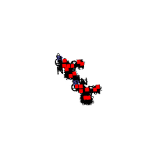 C/C=C/C(=O)N1CCN(c2nc(OCC3CCCN3C)nc3c2CCC2(CCCc4cc(CN(C)C/C=C/C(=O)N5CCN(c6nc(OCC7CCCN7C)nc7c6CCC6(CCCc8ccccc86)C7)C[C@@H]5CC#N)ccc42)C3)C[C@@H]1CC#N